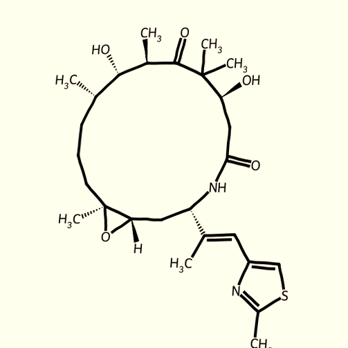 CC(=Cc1csc(C)n1)[C@@H]1C[C@@H]2O[C@@]2(C)CCC[C@H](C)[C@H](O)[C@@H](C)C(=O)C(C)(C)[C@@H](O)CC(=O)N1